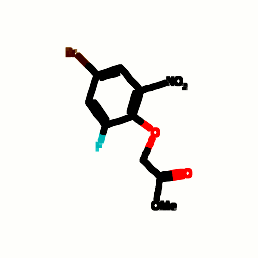 COC(=O)COc1c(F)cc(Br)cc1[N+](=O)[O-]